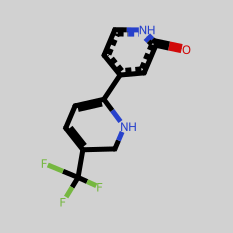 O=c1cc(C2=CC=C(C(F)(F)F)CN2)cc[nH]1